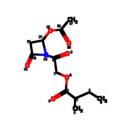 CCC(C)C(=O)OCC(=O)N1C(=O)CC1OC(C)=O